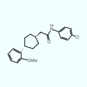 COc1ccccc1[C@H]1CC[C@H](CC(=O)Nc2ccc(Cl)cc2)CC1